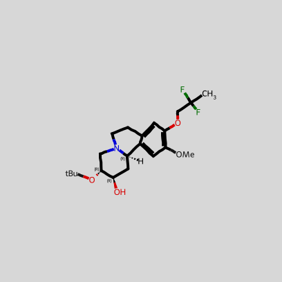 COc1cc2c(cc1OCC(C)(F)F)CCN1C[C@@H](OC(C)(C)C)[C@H](O)C[C@H]21